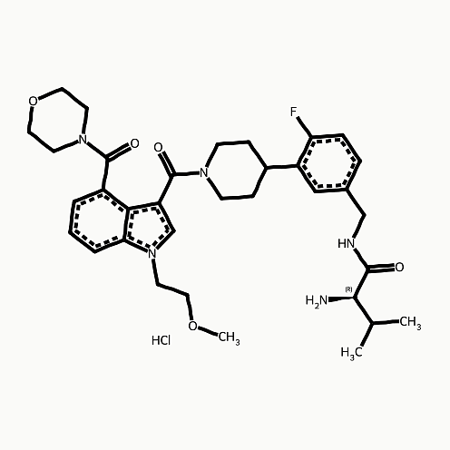 COCCn1cc(C(=O)N2CCC(c3cc(CNC(=O)[C@H](N)C(C)C)ccc3F)CC2)c2c(C(=O)N3CCOCC3)cccc21.Cl